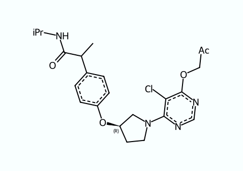 CC(=O)COc1ncnc(N2CC[C@@H](Oc3ccc(C(C)C(=O)NC(C)C)cc3)C2)c1Cl